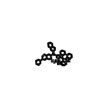 C[Si]1(C)c2ccccc2C2(c3ccccc3-c3cccc4cccc2c34)c2ccc(N(c3ccc4ccccc4c3)c3ccc4cc(-c5ccccc5)ccc4c3)cc21